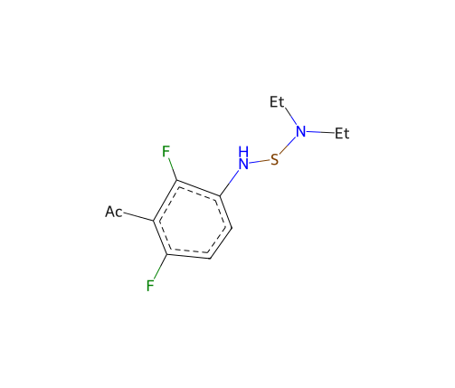 CCN(CC)SNc1ccc(F)c(C(C)=O)c1F